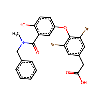 CN(Cc1ccccc1)C(=O)c1cc(Oc2c(Br)cc(CC(=O)O)cc2Br)ccc1O